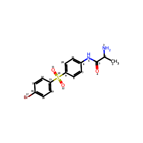 CC(N)C(=O)Nc1ccc(S(=O)(=O)c2ccc(Br)cc2)cc1